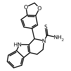 NC(=S)N1CCc2c([nH]c3ccccc23)C1c1ccc2c(c1)OCO2